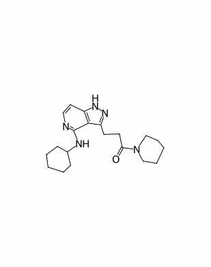 O=C(CCc1n[nH]c2ccnc(NC3CCCCC3)c12)N1CCCCC1